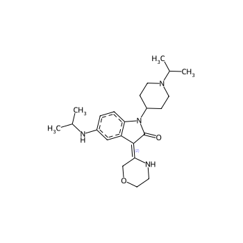 CC(C)Nc1ccc2c(c1)/C(=C1\COCCN1)C(=O)N2C1CCN(C(C)C)CC1